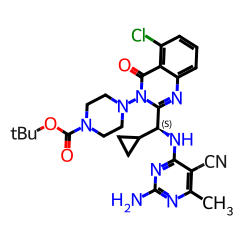 Cc1nc(N)nc(N[C@H](c2nc3cccc(Cl)c3c(=O)n2N2CCN(C(=O)OC(C)(C)C)CC2)C2CC2)c1C#N